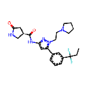 CCC(F)(F)c1cccc(-c2cc(NC(=O)[C@H]3CNC(=O)C3)nn2CCN2CCCC2)c1